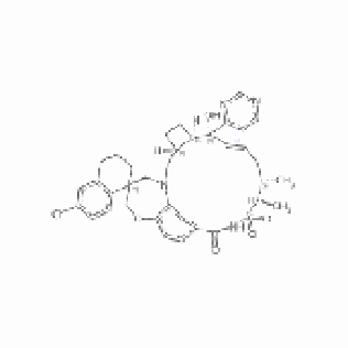 C[C@@H]1[C@@H](C)C/C=C/[C@](O)(c2ccncn2)[C@@H]2CC[C@H]2CN2C[C@@]3(CCCc4cc(Cl)ccc43)COc3ccc(cc32)C(=O)NS1(=O)=O